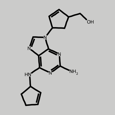 Nc1nc(NC2C=CCC2)c2ncn(C3C=CC(CO)C3)c2n1